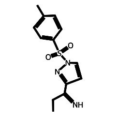 CCC(=N)c1ccn(S(=O)(=O)c2ccc(C)cc2)n1